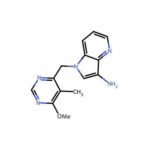 COc1ncnc(Cn2cc(N)c3ncccc32)c1C